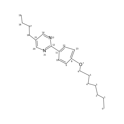 CCCCCCCOc1ccc(-c2ncc(CCCC)cn2)cc1